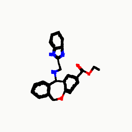 CCOC(=O)c1ccc2c(c1)C(NCc1nc3ccccc3[nH]1)c1ccccc1CO2